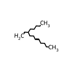 C=CC(CCC=CCCCC)CCCCC